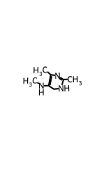 CNC1=C(C)N=C(C)NC1